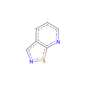 [c]1ccnc2sncc12